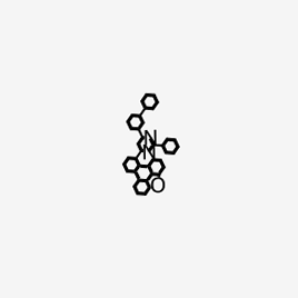 c1ccc(-c2cccc(-c3cc(-c4cccc5c6cccc7oc8cccc(c45)c8c76)nc(-c4ccccc4)n3)c2)cc1